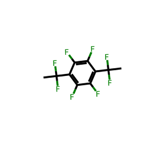 CC(F)(F)c1c(F)c(F)c(C(C)(F)F)c(F)c1F